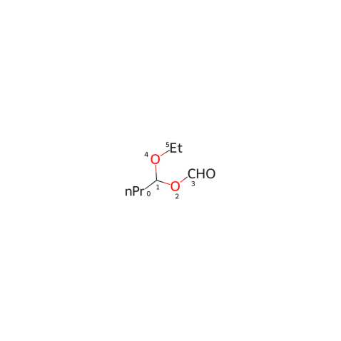 [CH2]CCC(OC=O)OCC